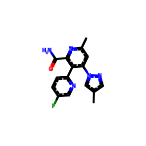 Cc1cnn(-c2cc(C)nc(C(N)=O)c2-c2ccc(F)cn2)c1